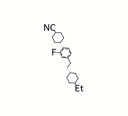 CC[C@H]1CC[C@H](CCc2ccc([C@H]3CC[C@H](C#N)CC3)c(F)c2)CC1